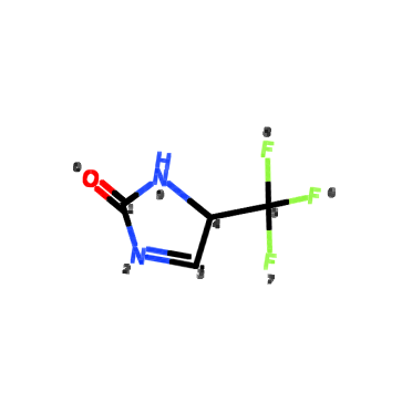 O=C1N=[C]C(C(F)(F)F)N1